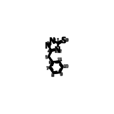 S=C1N=NC(Cc2ccccc2)=N1